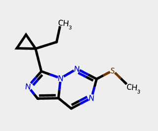 CCC1(c2ncc3cnc(SC)nn23)CC1